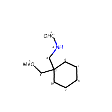 COCC1(CNC=O)CCCCC1